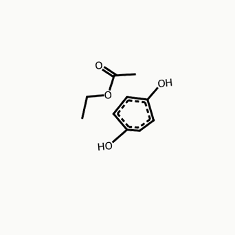 CCOC(C)=O.Oc1ccc(O)cc1